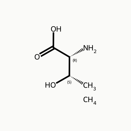 C.C[C@H](O)[C@@H](N)C(=O)O